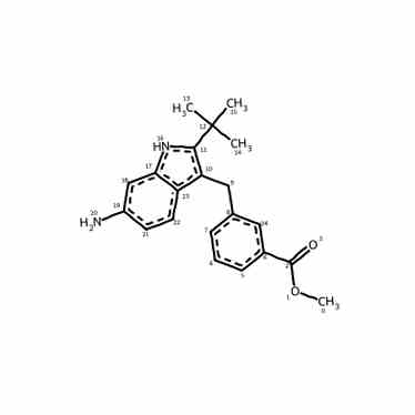 COC(=O)c1cccc(Cc2c(C(C)(C)C)[nH]c3cc(N)ccc23)c1